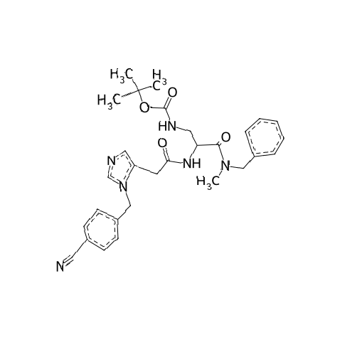 CN(Cc1ccccc1)C(=O)C(CNC(=O)OC(C)(C)C)NC(=O)Cc1cncn1Cc1ccc(C#N)cc1